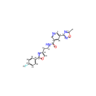 Cc1nc(-c2cncc(C(=O)NCCc3coc(-c4ccc(F)cc4)n3)c2)no1